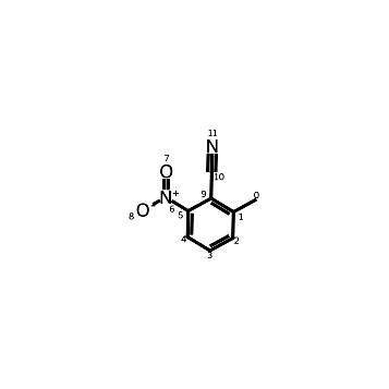 Cc1cccc([N+](=O)[O-])c1C#N